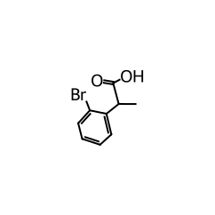 CC(C(=O)O)c1ccccc1Br